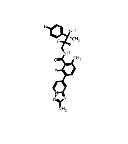 Cc1ccc(-c2ccn3nc(N)nc3c2)c(F)c1C(=O)NCC(F)(F)[C@](C)(O)c1ccc(F)cc1